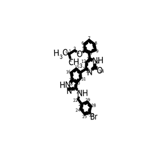 CC(C)COc1ccccc1-c1cc(-c2ccc3[nH]nc(NCc4ccc(Br)cc4)c3c2)nc(=O)[nH]1